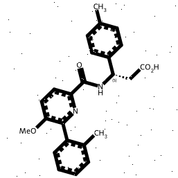 COc1ccc(C(=O)N[C@@H](CC(=O)O)c2ccc(C)cc2)nc1-c1ccccc1C